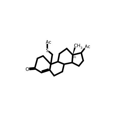 CC(=O)SCC12CCC(=O)C=C1CCC1C2CC[C@]2(C)C(C(C)=O)CCC12